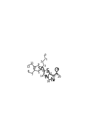 CCC[CH2][Sn]([CH2]CCC)([CH2]CCC)[c]1cn2cnc(C(C)=O)c2s1